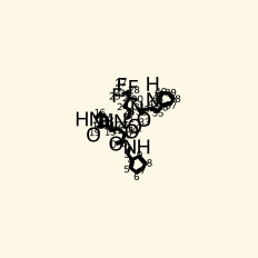 O=C(NCc1ccccc1)C(=O)C(CC1CCNC1=O)NC(=O)C1CC(C(F)(F)F)CN1C(=O)c1cc2ccccc2[nH]1